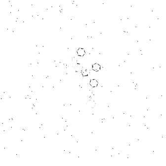 N#CC(C(=O)Nc1ccccc1)C(=O)c1nn(-c2ccccc2)c2c1CSc1c(N=CN3CCOCC3)cccc1-2